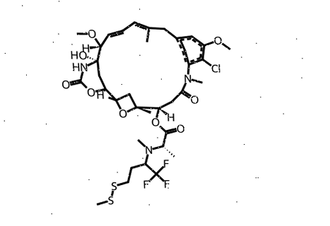 COc1cc2cc(c1Cl)N(C)C(=O)C[C@H](OC(=O)[C@H](C)N(C)C(CCSSC)C(F)(F)F)[C@@]1(C)CC(C)(O1)[C@@H]1C[C@@](O)(NC(=O)O1)[C@H](OC)/C=C/C=C(\C)C2